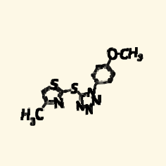 COc1ccc(-n2nnnc2Sc2nc(C)cs2)cc1